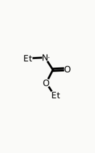 CC[N]C(=O)OCC